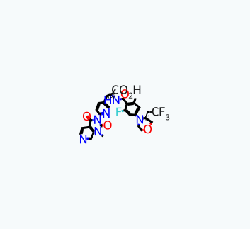 Cc1cc(N2CCOC[C@@H]2CC(F)(F)F)cc(F)c1C(=O)N[C@@H](Cc1ccc(-n2c(=O)c3ccncc3n(C)c2=O)nc1)C(=O)O